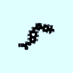 CC(F)(F)c1ccc(-n2cc(CN3CCc4ccc(OCC(=O)O)cc4CC3)cn2)cc1